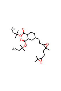 CC(=O)CC(C)(C)OC(=O)C1CCC(CCC2OC2(C)CCC2OC2(C)C)CC1C(=O)OC(C)(C)CC(C)=O